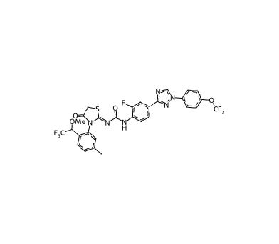 COC(c1ccc(C)cc1N1C(=O)CSC1=NC(=O)Nc1ccc(-c2ncn(-c3ccc(OC(F)(F)F)cc3)n2)cc1F)C(F)(F)F